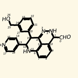 O=CC1NN=C2c3c(cccc31)NC(c1ccncc1)C2c1cccc(CO)c1